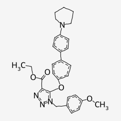 CCOC(=O)c1nnn(Cc2ccc(OC)cc2)c1Oc1ccc(-c2ccc(N3CCCCC3)cc2)cc1